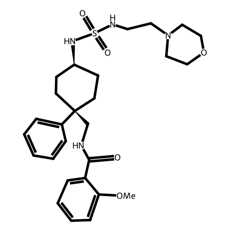 COc1ccccc1C(=O)NC[C@]1(c2ccccc2)CC[C@H](NS(=O)(=O)NCCN2CCOCC2)CC1